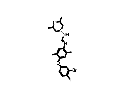 Cc1cc(Oc2ccc(I)c(Br)c2)c(C)cc1N=CNN1CC(C)OC(C)C1